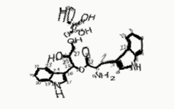 N[C@@H](Cc1c[nH]c2ccccc12)C(=O)OC(c1c[nH]c2ccccc12)C(O)CO.O=P(O)(O)O